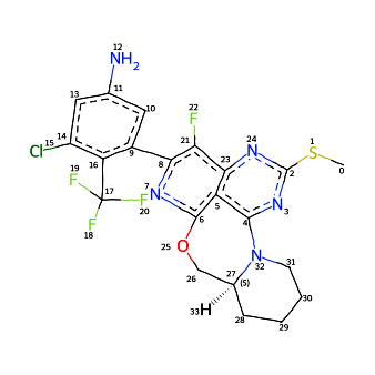 CSc1nc2c3c(nc(-c4cc(N)cc(Cl)c4C(F)(F)F)c(F)c3n1)OC[C@@H]1CCCCN21